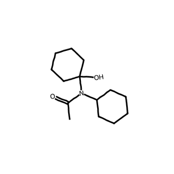 CC(=O)N(C1CCCCC1)C1(O)CCCCC1